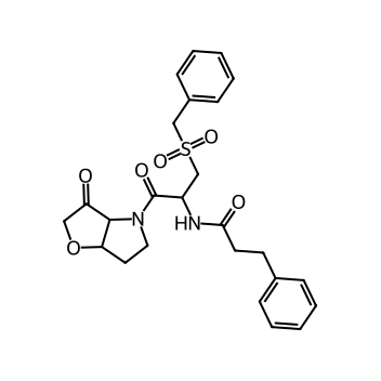 O=C(CCc1ccccc1)NC(CS(=O)(=O)Cc1ccccc1)C(=O)N1CCC2OCC(=O)C21